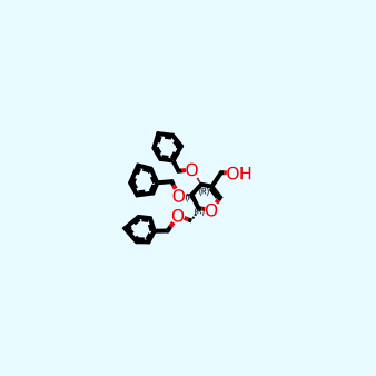 OCC1=CO[C@H](COCc2ccccc2)[C@H](OCc2ccccc2)[C@@H]1OCc1ccccc1